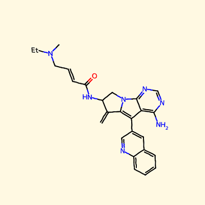 C=C1c2c(-c3cnc4ccccc4c3)c3c(N)ncnc3n2CC1NC(=O)C=CCN(C)CC